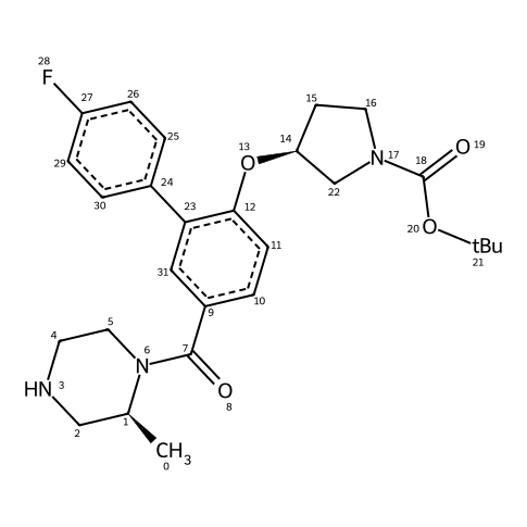 C[C@H]1CNCCN1C(=O)c1ccc(O[C@H]2CCN(C(=O)OC(C)(C)C)C2)c(-c2ccc(F)cc2)c1